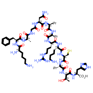 CC(C)[C@H](NC(=O)[C@H](CC(N)=O)NC(=O)CNC(=O)[C@H](C)NC(=O)[C@H](Cc1ccccc1)NC(=O)[C@@H](N)CCCCN)C(=O)N[C@H](C(=O)N[C@@H](CCCNC(=N)N)C(=O)N[C@@H](CCCCN)C(=O)N[C@@H](CS)C(=O)N[C@H](C(=O)N[C@H](C(=O)N[C@@H](Cc1c[nH]cn1)C(=O)O)[C@@H](C)O)C(C)C)C(C)C